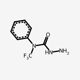 NNC(=O)N(c1ccccc1)C(F)(F)F